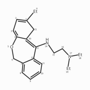 CCC1=CC=C2OCc3ccccc3C(NCCN(CC)CC)=C2C1